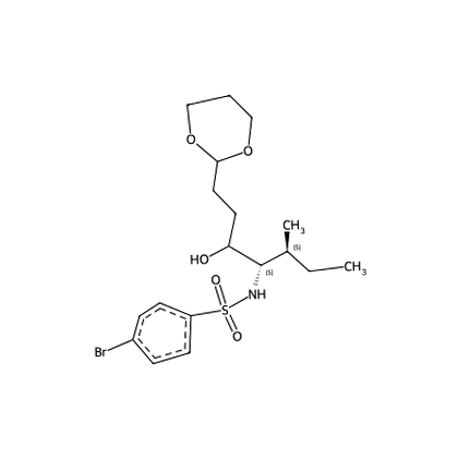 CC[C@H](C)[C@H](NS(=O)(=O)c1ccc(Br)cc1)C(O)CCC1OCCCO1